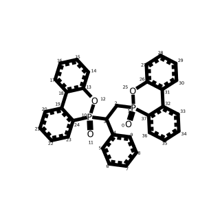 O=P1(CC(c2ccccc2)P2(=O)Oc3ccccc3-c3ccccc32)Oc2ccccc2-c2ccccc21